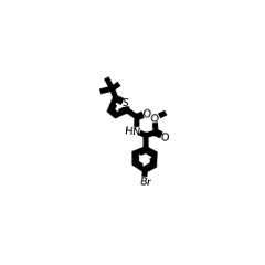 COC(=O)C(NC(=O)c1ccc(C(C)(C)C)s1)c1ccc(Br)cc1